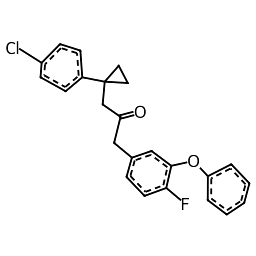 O=C(Cc1ccc(F)c(Oc2ccccc2)c1)CC1(c2ccc(Cl)cc2)CC1